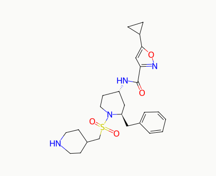 O=C(N[C@H]1CCN(S(=O)(=O)CC2CCNCC2)[C@H](Cc2ccccc2)C1)c1cc(C2CC2)on1